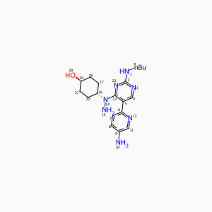 CCCCNc1ncc(-c2ccc(N)cn2)c(N(N)[C@H]2CC[C@H](O)CC2)n1